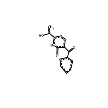 C=C(O)c1ncc(C(=O)c2ccccc2)c(=O)[nH]1